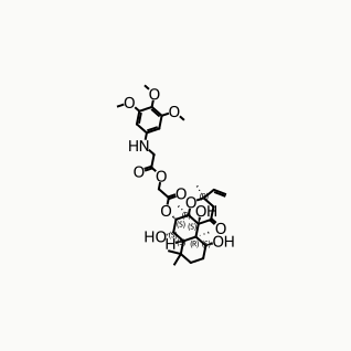 C=C[C@@]1(C)CC(=O)[C@]2(O)[C@@]3(C)[C@@H](O)CCC(C)(C)[C@@H]3[C@H](O)[C@H](OC(=O)COC(=O)CNc3cc(OC)c(OC)c(OC)c3)[C@@]2(C)O1